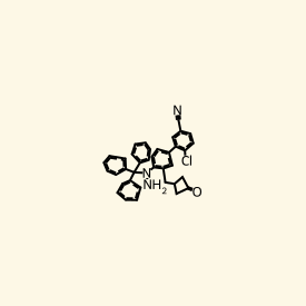 N#Cc1ccc(Cl)c(-c2ccc(N(N)C(c3ccccc3)(c3ccccc3)c3ccccc3)c(CC3CC(=O)C3)c2)c1